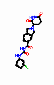 O=C1CCC(N2Cc3ccc(C(=O)NC(=O)Nc4cccc(Cl)c4)cc3C2)C(=O)N1